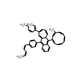 C/C=C\C=C/c1ccc(C2=c3ccccc3=C(c3cccccccc(C)c3)C3C=CC=C(C(/C=C\CC)=C/C)C=C23)cc1